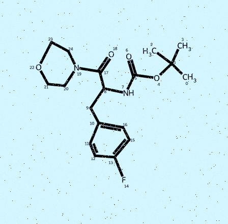 CC(C)(C)OC(=O)NC(Cc1ccc(F)cc1)C(=O)N1CCOCC1